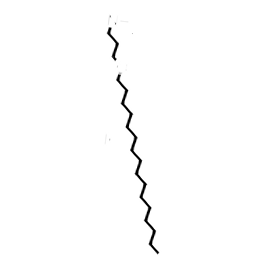 CCCCCCCCCCCCCCCCOCCCN.Cl